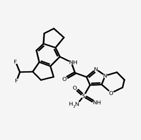 N=S(N)(=O)c1c(C(=O)Nc2c3c(cc4c2CCC4C(F)F)CCC3)nn2c1OCCC2